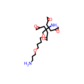 NCCCOCCCCOCC(CC1CO1)(CC1CO1)C(N)(CC1CO1)CC1CO1